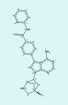 Nc1ncnc2c1c(-c1ccc(C(=O)Nc3ccccn3)cc1)nn2C1C[C@@H]2CNC1C2